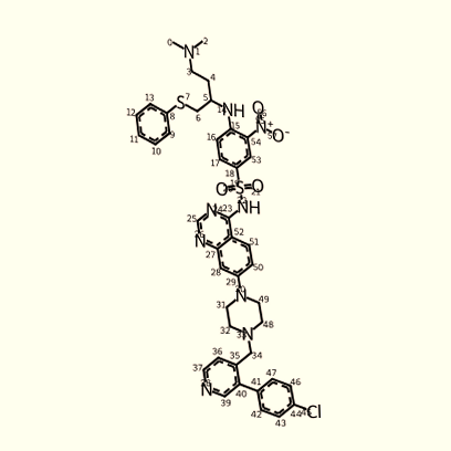 CN(C)CCC(CSc1ccccc1)Nc1ccc(S(=O)(=O)Nc2ncnc3cc(N4CCN(Cc5ccncc5-c5ccc(Cl)cc5)CC4)ccc23)cc1[N+](=O)[O-]